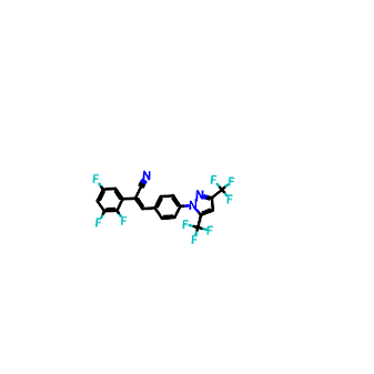 N#CC(=Cc1ccc(-n2nc(C(F)(F)F)cc2C(F)(F)F)cc1)c1cc(F)cc(F)c1F